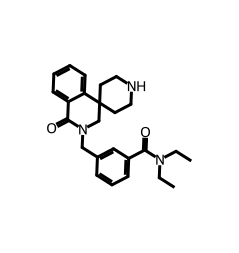 CCN(CC)C(=O)c1cccc(CN2CC3(CCNCC3)c3ccccc3C2=O)c1